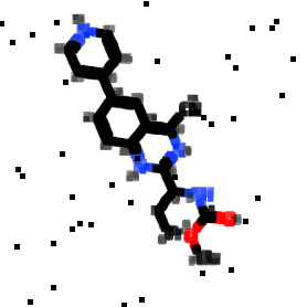 CC(C)CC(NC(=O)OC(C)(C)C)c1nc(C#N)c2cc(-c3ccncc3)ccc2n1